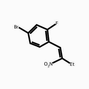 CCC(=Cc1ccc(Br)cc1F)[N+](=O)[O-]